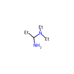 [CH2]CC(N)N(CC)CC